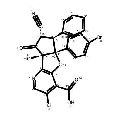 N#C[C@H]1C(=O)[C@@]2(O)c3ncc(Cl)c(C(=O)O)c3O[C@@]2(c2ccc(Br)cc2)[C@@H]1c1ccccc1